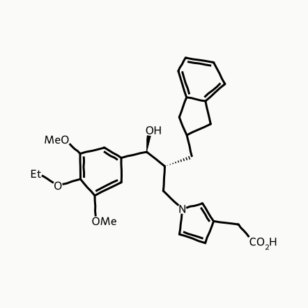 CCOc1c(OC)cc([C@@H](O)[C@H](CC2Cc3ccccc3C2)Cn2ccc(CC(=O)O)c2)cc1OC